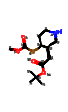 COC(=O)SC1CCNC/C1=C/C(=O)OC(C)(C)C